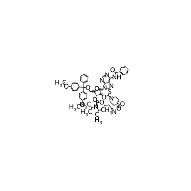 COc1ccc(C(OC[C@H]2O[C@@H](n3cnc4c(NC(=O)c5ccccc5)ncnc43)[C@@H](OC(=S)N3CCS(=O)(=O)CC3)C2OP(OCCC#N)N(C(C)C)C(C)C)(c2ccccc2)c2ccc(OC)cc2)cc1